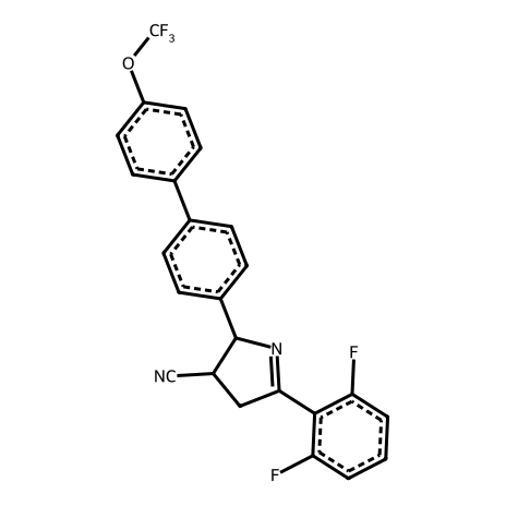 N#CC1CC(c2c(F)cccc2F)=NC1c1ccc(-c2ccc(OC(F)(F)F)cc2)cc1